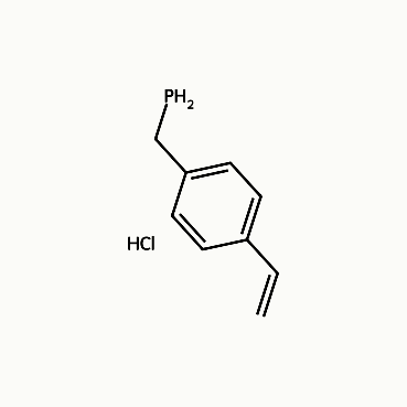 C=Cc1ccc(CP)cc1.Cl